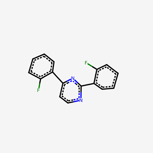 Fc1ccccc1-c1ccnc(-c2ccccc2F)n1